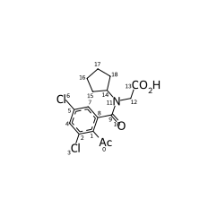 CC(=O)c1c(Cl)cc(Cl)cc1C(=O)N(CC(=O)O)C1CCCC1